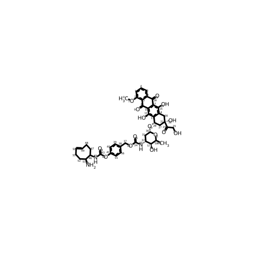 COc1cccc2c1C(=O)c1c(O)c3c(c(O)c1C2=O)C[C@@](O)(C(=O)CO)C[C@@H]3O[C@H]1C[C@@H](NC(=O)OCc2ccc(OC(=O)NC3CC/C=C/CCC3N)cc2)[C@H](O)C(C)O1